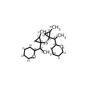 CC1CC1(SC1(C(C)C2CCCCO2)CC1C)C(C)C1CCCCO1